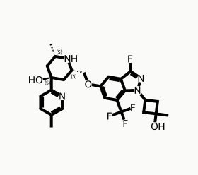 Cc1ccc([C@@]2(O)C[C@@H](COc3cc(C(F)(F)F)c4c(c3)c(F)nn4C3CC(C)(O)C3)N[C@@H](C)C2)nc1